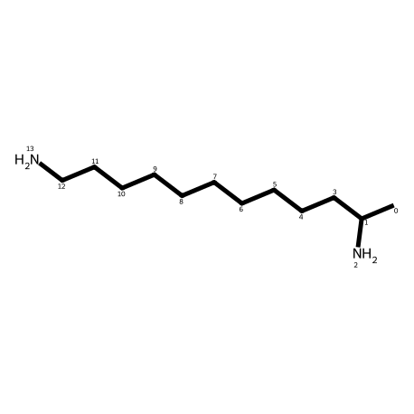 CC(N)CCCCCCCCCCN